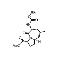 COC(=O)[C@@H]1CC[C@@H]2C=C(C)C[C@H](NC(=O)OC(C)(C)C)C(=O)N21